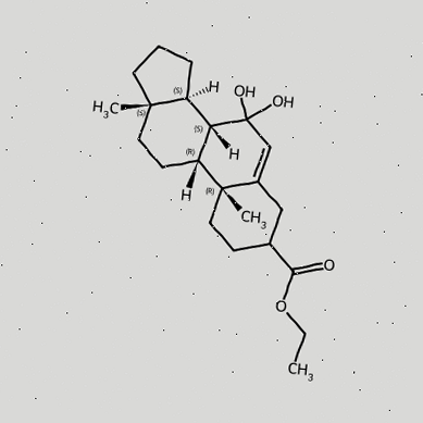 CCOC(=O)C1CC[C@@]2(C)C(=CC(O)(O)[C@@H]3[C@H]2CC[C@]2(C)CCC[C@@H]32)C1